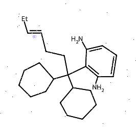 CC/C=C/CCC(c1c(N)cccc1N)(C1CCCCC1)C1CCCCC1